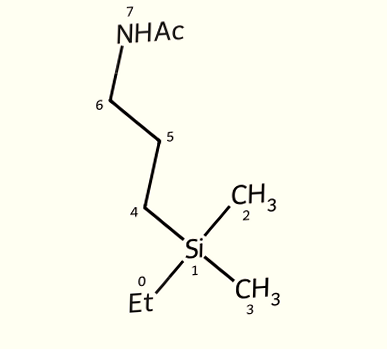 CC[Si](C)(C)CCCNC(C)=O